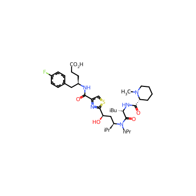 CCCN(C(=O)C(NC(=O)[C@H]1CCCCN1C)[C@@H](C)CC)[C@H](C[C@@H](O)c1nc(C(=O)N[C@H](CCC(=O)O)Cc2ccc(F)cc2)cs1)C(C)C